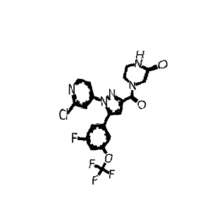 O=C1CN(C(=O)c2cc(-c3cc(F)cc(OC(F)(F)F)c3)n(-c3ccnc(Cl)c3)n2)CCN1